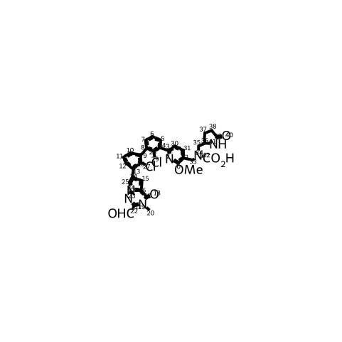 COc1nc(-c2cccc(-c3cccc(-c4cc5c(=O)n(C)c(C=O)nn5c4)c3Cl)c2Cl)ccc1CN(CC1CCC(=O)N1)C(=O)O